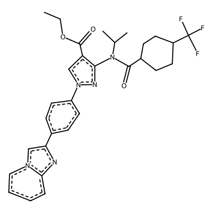 CCOC(=O)c1cn(-c2ccc(-c3cn4ccccc4n3)cc2)nc1N(C(=O)C1CCC(C(F)(F)F)CC1)C(C)C